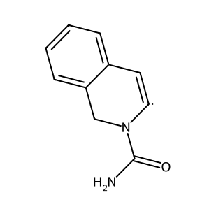 NC(=O)N1[C]=Cc2ccccc2C1